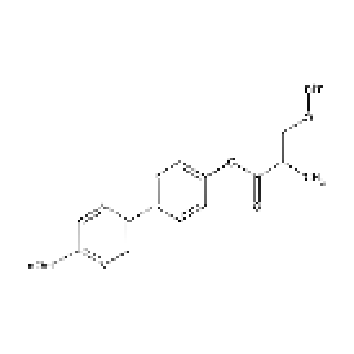 CCCCCCCCc1cnc(-c2ccc(OC(=O)C(C)COCCC)cc2)cn1